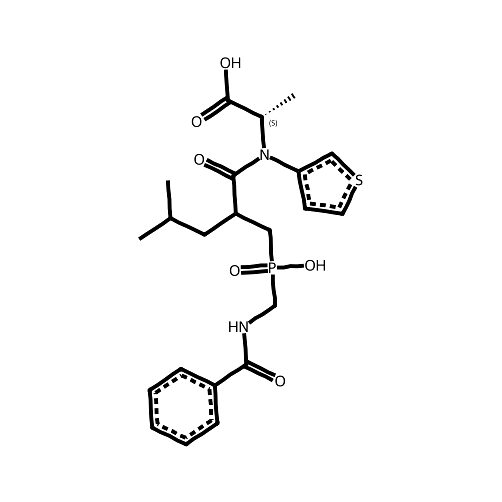 CC(C)CC(CP(=O)(O)CNC(=O)c1ccccc1)C(=O)N(c1ccsc1)[C@@H](C)C(=O)O